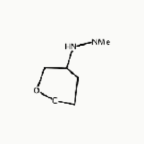 CNNC1CCCOC1